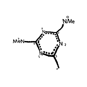 CNc1nc(C)nc(NC)n1